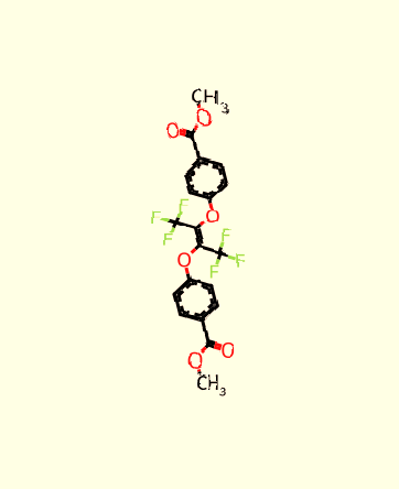 COC(=O)c1ccc(O/C(=C(/Oc2ccc(C(=O)OC)cc2)C(F)(F)F)C(F)(F)F)cc1